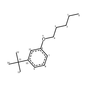 CCCCCOc1cccc(C(C)(C)C)c1